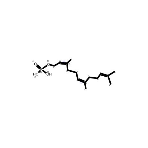 CC(C)=CCC/C(C)=C\CC/C(C)=C\COP(=O)(O)O